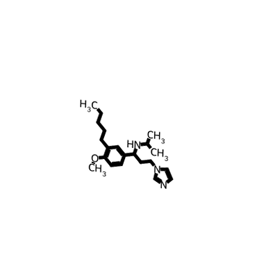 CCCCCc1cc(C(CCn2ccnc2)NC(C)C)ccc1OC